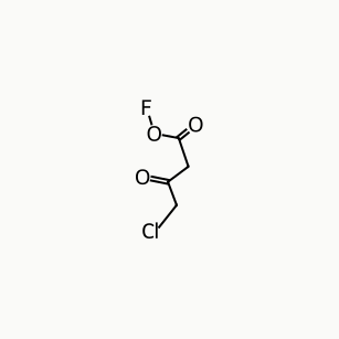 O=C(CCl)CC(=O)OF